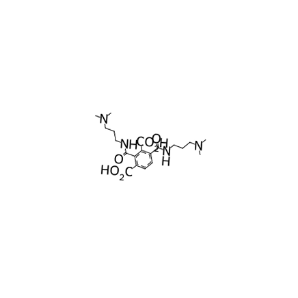 CN(C)CCCNC(=O)c1ccc(C(=O)O)c(C(=O)NCCCN(C)C)c1C(=O)O